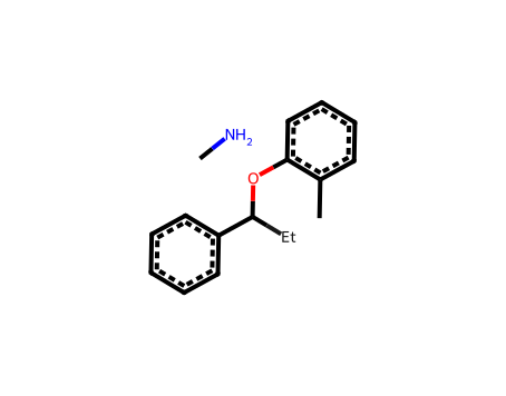 CCC(Oc1ccccc1C)c1ccccc1.CN